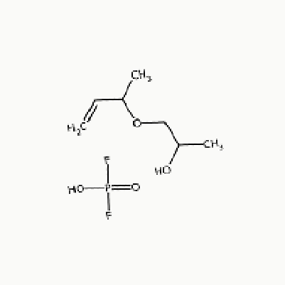 C=CC(C)OCC(C)O.O=P(O)(F)F